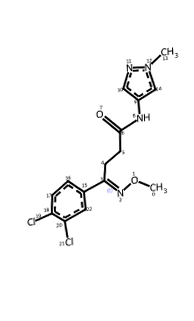 CO/N=C(\CCC(=O)Nc1cnn(C)c1)c1ccc(Cl)c(Cl)c1